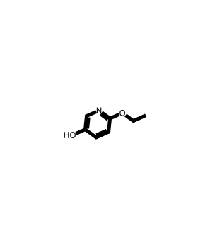 CCOc1ccc(O)cn1